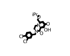 CC(C)OCc1cc(=O)c(O)c2n1CCN(Cc1ccc(Cl)c(Cl)c1)C2=O